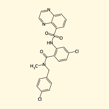 CN(Cc1ccc(Cl)cc1)C(=O)c1ccc(Cl)cc1NS(=O)(=O)c1cccc2nccnc12